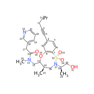 CC(C)CC#Cc1ccc2c(c1)OC(CN(C)C(=O)Cc1cccnc1)[C@H](C)CN([C@H](C)CO)S2(=O)=O